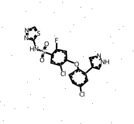 O=S(=O)(Nc1nncs1)c1cc(Cl)c(Oc2ccc(Cl)cc2-c2cn[nH]c2)cc1F